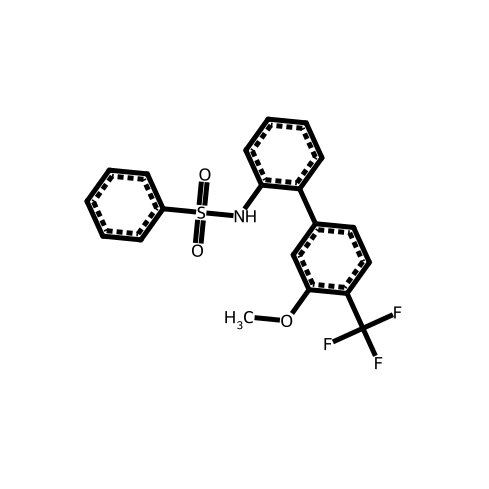 COc1cc(-c2ccccc2NS(=O)(=O)c2ccccc2)ccc1C(F)(F)F